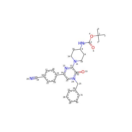 CC(C)(C)OC(=O)NC1CCN(c2nc(-c3ccc(C#N)cc3)cn(Cc3ccccc3)c2=O)CC1